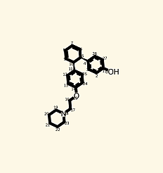 Oc1ccc([C@@H]2C=CC=C[C@@H]2c2ccc(OCCN3CCCCC3)cc2)cc1